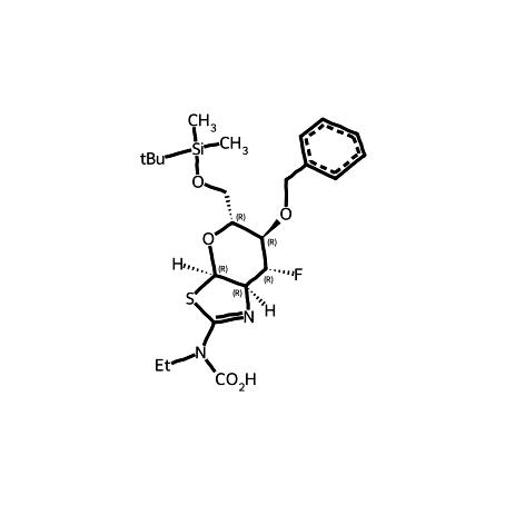 CCN(C(=O)O)C1=N[C@@H]2[C@@H](F)[C@H](OCc3ccccc3)[C@@H](CO[Si](C)(C)C(C)(C)C)O[C@@H]2S1